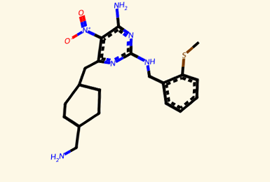 CSc1ccccc1CNc1nc(N)c([N+](=O)[O-])c(CC2CCC(CN)CC2)n1